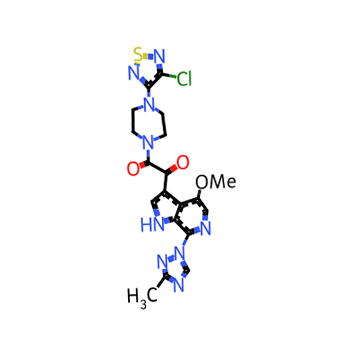 COc1cnc(-n2cnc(C)n2)c2[nH]cc(C(=O)C(=O)N3CCN(c4nsnc4Cl)CC3)c12